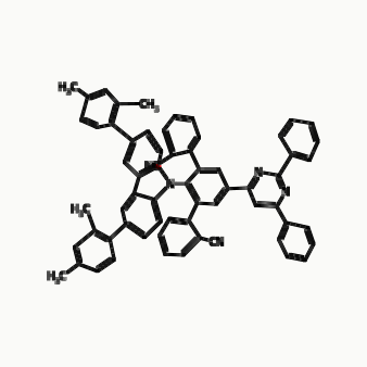 Cc1ccc(-c2ccc3c(c2)c2cc(-c4ccc(C)cc4C)ccc2n3-c2c(-c3ccccc3C#N)cc(-c3cc(-c4ccccc4)nc(-c4ccccc4)n3)cc2-c2ccccc2C#N)c(C)c1